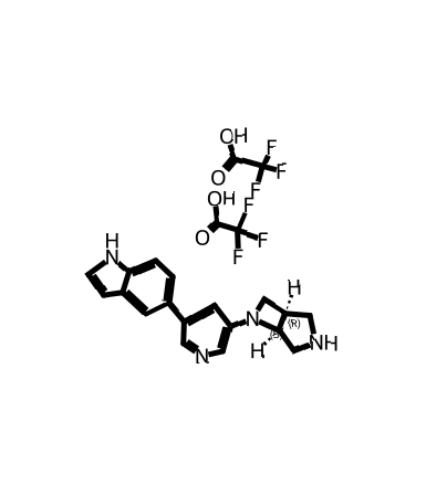 O=C(O)C(F)(F)F.O=C(O)C(F)(F)F.c1cc2cc(-c3cncc(N4C[C@H]5CNC[C@H]54)c3)ccc2[nH]1